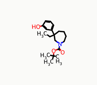 CCC1(c2cccc(O)c2)CCCCN(C(=O)OC(C)(C)C)C1